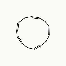 [C]1=CCC=CC=CCC=CCC=CC1